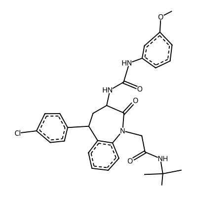 COc1cccc(NC(=O)NC2CC(c3ccc(Cl)cc3)c3ccccc3N(CC(=O)NC(C)(C)C)C2=O)c1